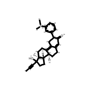 CC#CC1(O)CC[C@H]2[C@@H]3CCC4=CC(=O)C(c5cccc(N(C)C)c5)CC4=C3CC[C@@]21C